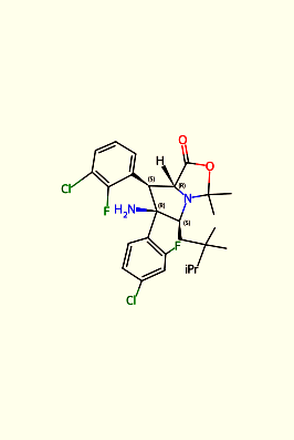 CC(C)C(C)(C)C[C@@H]1N2[C@@H](C(=O)OC2(C)C)[C@H](c2cccc(Cl)c2F)[C@@]1(N)c1ccc(Cl)cc1F